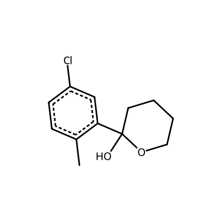 Cc1ccc(Cl)cc1C1(O)CCCCO1